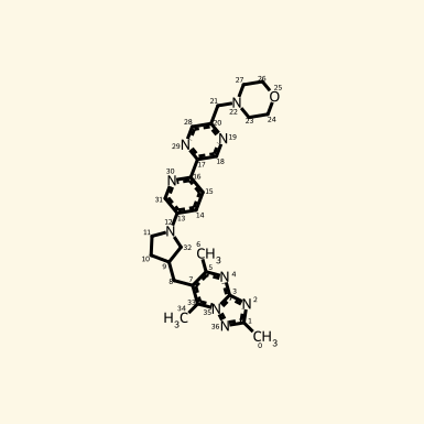 Cc1nc2nc(C)c(CC3CCN(c4ccc(-c5cnc(CN6CCOCC6)cn5)nc4)C3)c(C)n2n1